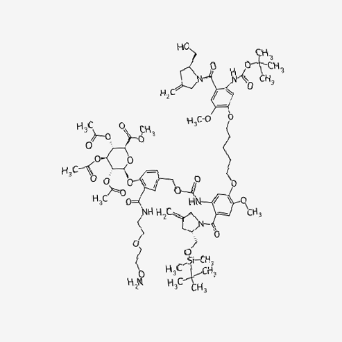 C=C1C[C@@H](CO[Si](C)(C)C(C)(C)C)N(C(=O)c2cc(OC)c(OCCCCCOc3cc(NC(=O)OC(C)(C)C)c(C(=O)N4CC(=C)C[C@H]4CO)cc3OC)cc2NC(=O)OCc2ccc(O[C@@H]3O[C@H](C(=O)OC)[C@@H](OC(C)=O)[C@H](OC(C)=O)[C@H]3OC(C)=O)c(C(=O)NCCOCCON)c2)C1